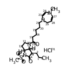 CCC[C@H]1C(=O)N(S(C)(=O)=O)[C@H]2CCN(C(=O)CCCCCN3C=CN(C)C=CC3)[C@H]12.Cl